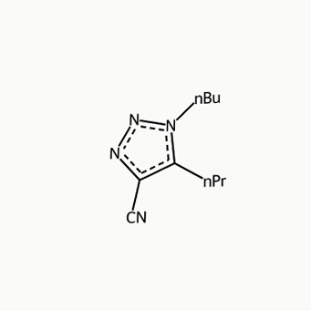 CCCCn1nnc(C#N)c1CCC